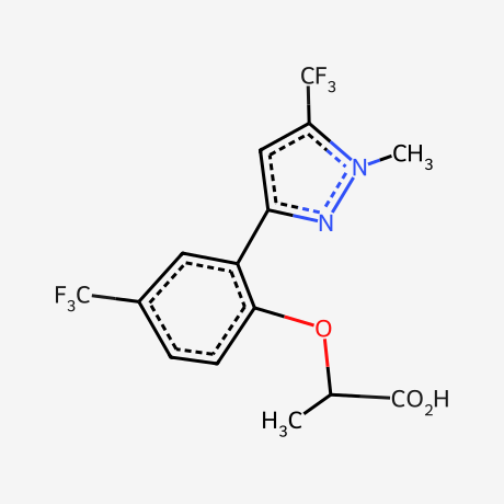 CC(Oc1ccc(C(F)(F)F)cc1-c1cc(C(F)(F)F)n(C)n1)C(=O)O